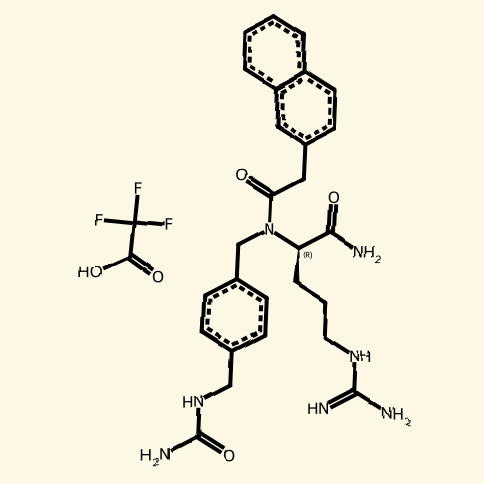 N=C(N)NCCC[C@H](C(N)=O)N(Cc1ccc(CNC(N)=O)cc1)C(=O)Cc1ccc2ccccc2c1.O=C(O)C(F)(F)F